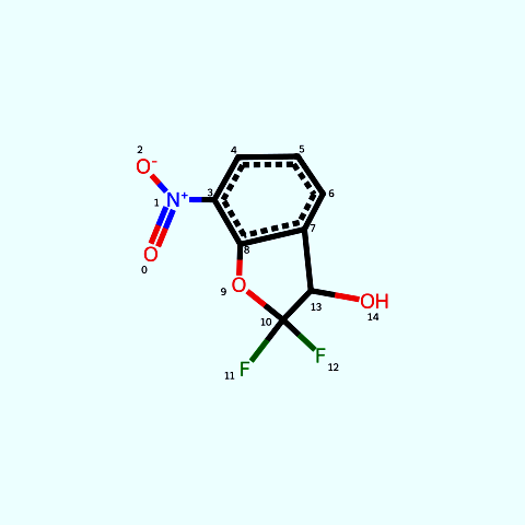 O=[N+]([O-])c1cccc2c1OC(F)(F)C2O